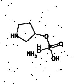 N.O=P(O)(O)OC1CCNC1